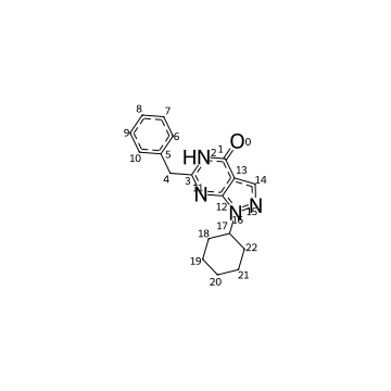 O=c1[nH]c(Cc2ccccc2)nc2c1cnn2C1CCCCC1